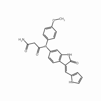 COc1ccc(N(C(=O)CC(N)=O)c2ccc3c(c2)NC(=O)/C3=C\c2ccc[nH]2)cc1